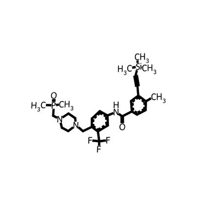 Cc1ccc(C(=O)Nc2ccc(CN3CCN(CP(C)(C)=O)CC3)c(C(F)(F)F)c2)cc1C#C[Si](C)(C)C